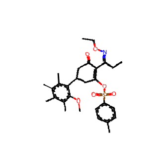 CCO/N=C(/CC)C1=C(OS(=O)(=O)c2ccc(C)cc2)CC(c2c(C)c(C)c(C)c(C)c2OC)CC1=O